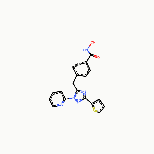 O=C(NO)c1ccc(Cc2nc(-c3cccs3)nn2-c2ccccn2)cc1